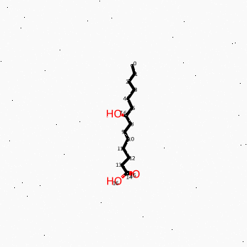 CCCCCCC(O)CCCCCCC(=O)O